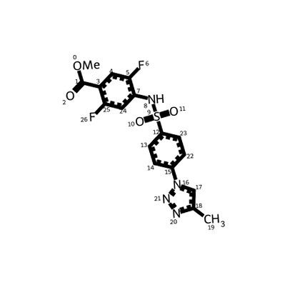 COC(=O)c1cc(F)c(NS(=O)(=O)c2ccc(-n3cc(C)nn3)cc2)cc1F